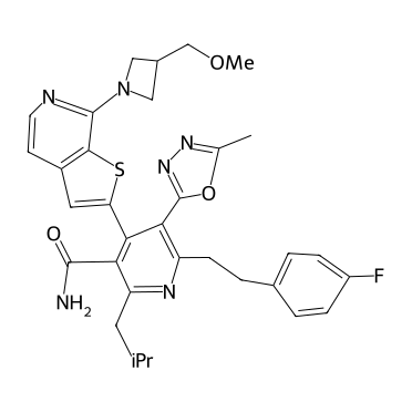 COCC1CN(c2nccc3cc(-c4c(C(N)=O)c(CC(C)C)nc(CCc5ccc(F)cc5)c4-c4nnc(C)o4)sc23)C1